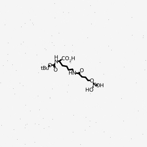 CC(C)(C)OC(=O)NC(CCCCNC(=O)CCCON(O)O)C(=O)O